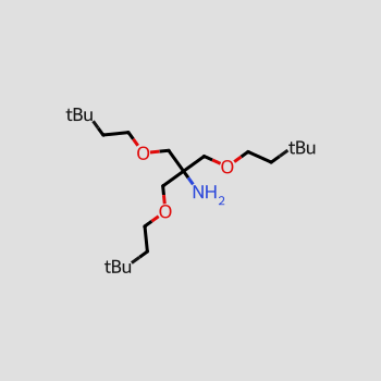 CC(C)(C)CCOCC(N)(COCCC(C)(C)C)COCCC(C)(C)C